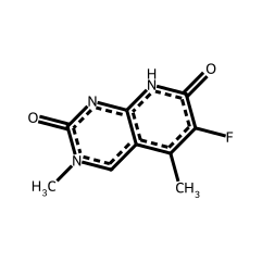 Cc1c(F)c(=O)[nH]c2nc(=O)n(C)cc12